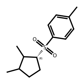 Cc1ccc(S(=O)(=O)[C@@H]2CCC(C)C2C)cc1